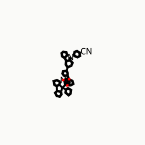 N#Cc1ccc(-n2c3ccccc3c3cc(-c4ccc5c(c4)c4ccccc4n5-c4cccc5c4C(c4ccccc4)(c4ccccc4)c4ccccc4-5)ccc32)cc1